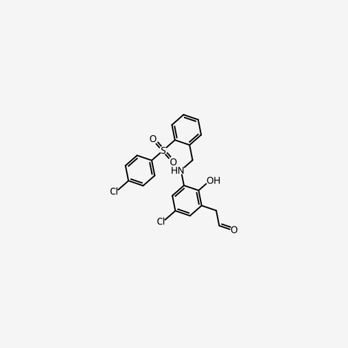 O=CCc1cc(Cl)cc(NCc2ccccc2S(=O)(=O)c2ccc(Cl)cc2)c1O